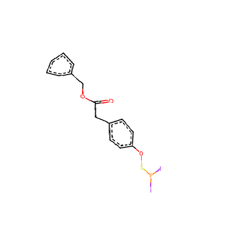 O=C(Cc1ccc(OSP(I)I)cc1)OCc1ccccc1